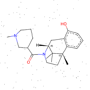 CN1CCCC(C(=O)N2CC[C@@]3(C)c4cccc(O)c4C[C@@H]2C3(C)C)C1